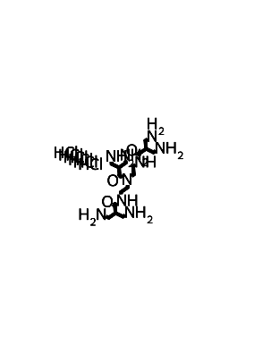 Cl.Cl.Cl.Cl.Cl.Cl.NCC(CN)C(=O)NCCN(CCNC(=O)C(CN)CN)C(=O)C(CN)CN